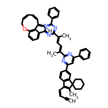 C#C/C=C\C1=C(C)C2(CCCCC2)c2cc(-c3cc(-c4ccccc4)nc(/C(C)=C/C=C(\C)c4nc(-c5ccccc5)nc(-c5cccc6c5C(=C\C)/C=C\C=C/CO6)n4)n3)ccc21